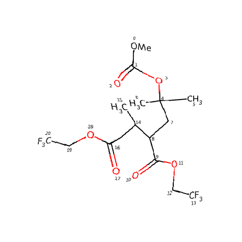 COC(=O)OC(C)(C)CC(C(=O)OCC(F)(F)F)C(C)C(=O)OCC(F)(F)F